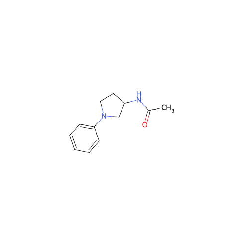 CC(=O)NC1CCN(c2ccccc2)C1